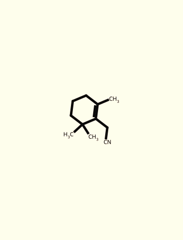 CC1=C(CC#N)C(C)(C)CCC1